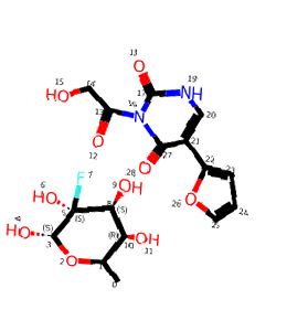 CC1O[C@H](O)[C@@](O)(F)[C@@H](O)[C@H]1O.O=C(CO)n1c(=O)[nH]cc(-c2ccco2)c1=O